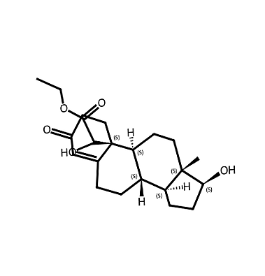 CCOC(=O)C(O)[C@]12CCC(=O)C=C1CC[C@H]1[C@@H]3CC[C@H](O)[C@@]3(C)CC[C@@H]12